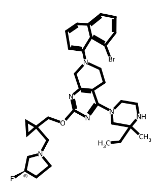 CCC1(C)CN(c2nc(OCC3(CN4CC[C@@H](F)C4)CC3)nc3c2CCN(c2cccc4cccc(Br)c24)C3)CCN1